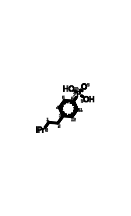 CC(C)CCc1ccc(P(=O)(O)O)cc1